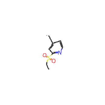 [CH2]c1ccnc(S(=O)(=O)CC)c1